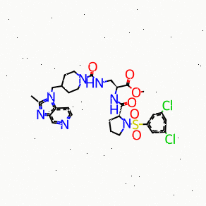 COC(=O)[C@H](CNC(=O)N1CCC(Cn2c(C)nc3cnccc32)CC1)NC(=O)[C@@H]1CCCN1S(=O)(=O)c1cc(Cl)cc(Cl)c1